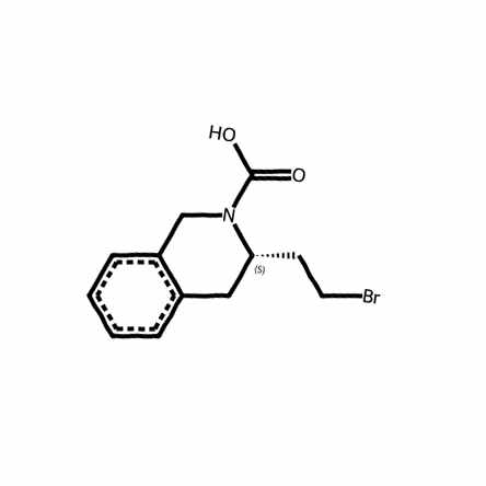 O=C(O)N1Cc2ccccc2C[C@H]1CCBr